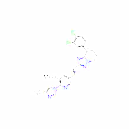 COc1cc(/C=C/c2nc3n(n2)CCC[C@@H]3c2ccc(F)c(F)c2)cnc1-n1cnc(C)c1